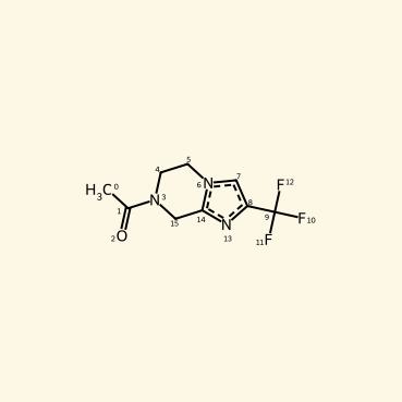 CC(=O)N1CCn2cc(C(F)(F)F)nc2C1